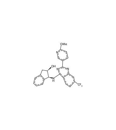 COc1ccc(-c2nc(N[C@H]3c4ccccc4C[C@H]3O)c3ccc(C(F)(F)F)cc3n2)cn1